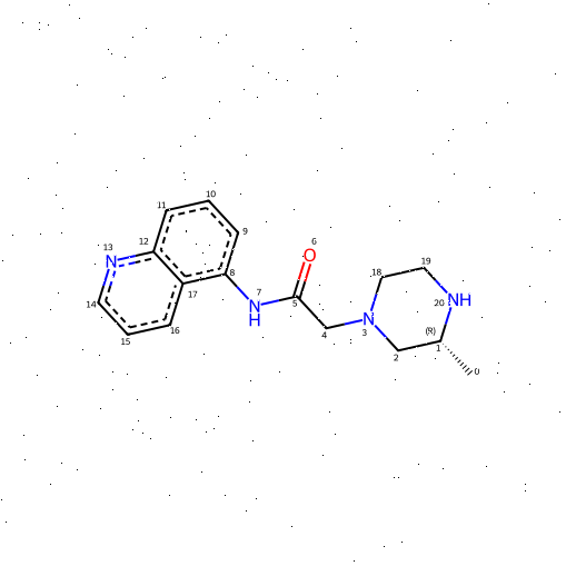 C[C@@H]1CN(CC(=O)Nc2cccc3ncccc23)CCN1